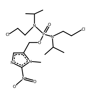 CC(C)N(CCCl)P(=O)(OCc1cnc([N+](=O)[O-])n1C)N(CCCl)C(C)C